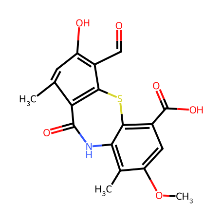 COc1cc(C(=O)O)c2c(c1C)NC(=O)c1c(C)cc(O)c(C=O)c1S2